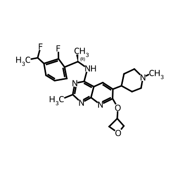 Cc1nc(N[C@H](C)c2cccc(C(C)F)c2F)c2cc(C3CCN(C)CC3)c(OC3COC3)nc2n1